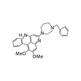 COc1cc2nc(N3CCCN(Cc4ccccc4)CC3)cc(N)c2c(-c2ccccc2)c1OC